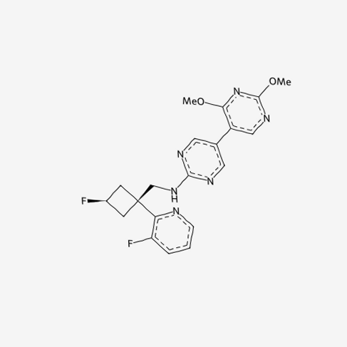 COc1ncc(-c2cnc(NC[C@]3(c4ncccc4F)C[C@H](F)C3)nc2)c(OC)n1